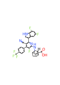 N#Cc1c(-c2c[nH]c3c(F)cc(F)cc23)nc(NC2C3CCC(CC3)[C@H]2C(=O)O)c(F)c1-c1ccc(C(F)(F)F)cc1